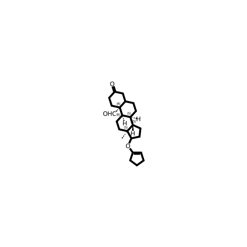 C[C@]12CC[C@@H]3[C@@H](CCC4CC(=O)CC[C@@]43C=O)[C@@H]1CCC2OC1=CCCC1